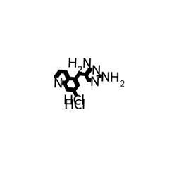 Cc1cc(Cc2cnc(N)nc2N)c2cccnc2c1.Cl.Cl